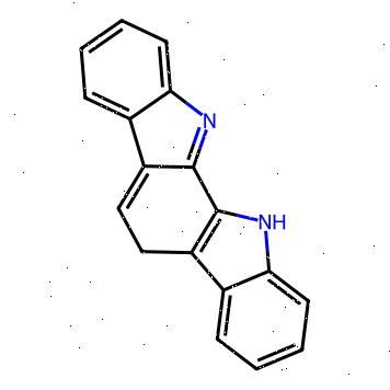 C1=C2C(=Nc3ccccc32)c2[nH]c3ccccc3c2C1